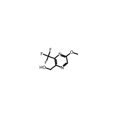 COc1cnc(CO)c(C(F)(F)F)n1